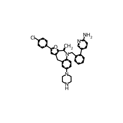 C=C1c2oc(-c3ccc(Cl)cc3)cc2Cc2cc(N3CCNCC3)ccc2N1Cc1ccccc1-c1ccc(N)nc1